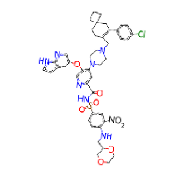 O=C(NS(=O)(=O)c1ccc(NCC2COCCO2)c([N+](=O)[O-])c1)c1cc(N2CCN(CC3=C(c4ccc(Cl)cc4)CC4(CCC4)CC3)CC2)c(Oc2cnc3[nH]ccc3c2)cn1